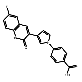 O=C(O)c1ccc(-n2cc(-c3cc4cc(F)ccc4[nH]c3=O)cn2)cc1